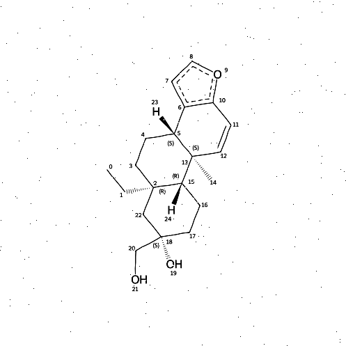 CC[C@]12CC[C@@H]3c4ccoc4C=C[C@@]3(C)[C@@H]1CC[C@@](O)(CO)C2